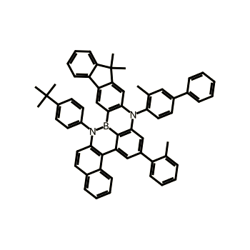 Cc1ccccc1-c1cc2c3c(c1)N(c1ccc(-c4ccccc4)cc1C)c1cc4c(cc1B3N(c1ccc(C(C)(C)C)cc1)c1ccc3ccccc3c1-2)-c1ccccc1C4(C)C